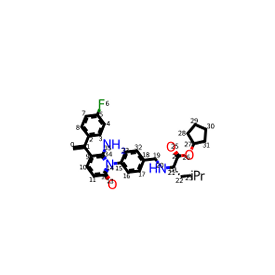 C=C(c1ccc(F)cc1)c1ccc(=O)n(-c2ccc(CN[C@@H](CC(C)C)C(=O)OC3CCCC3)cc2)c1N